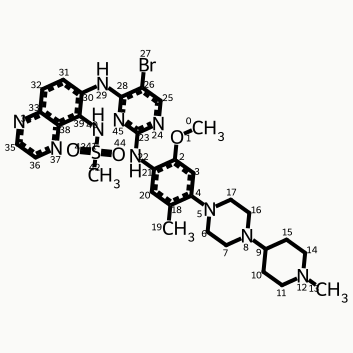 COc1cc(N2CCN(C3CCN(C)CC3)CC2)c(C)cc1Nc1ncc(Br)c(Nc2ccc3nccnc3c2NS(C)(=O)=O)n1